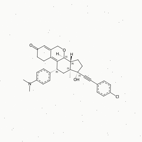 CN(C)c1ccc([C@H]2C[C@@]3(C)[C@@H](CC[C@@]3(O)C#Cc3ccc(Cl)cc3)[C@@H]3OCC4=CC(=O)CCC4=C32)cc1